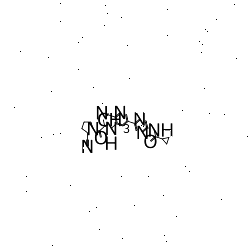 CC(Nc1cc(-c2cnc(NC(=O)C3CC3)cn2)cnc1C#N)C(=O)N1CCCC1C#N